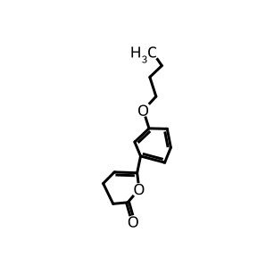 CCCCOc1cccc(C2=CCCC(=O)O2)c1